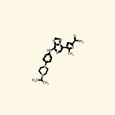 Cc1sc(C(N)=O)cc1-c1cnc(Nc2ccc(N3CCN(C(C)C)CC3)cc2)c2ncnn12